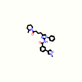 CC1CCCCN1C(=O)CCCc1cn(-c2ccccc2)c(NC(=O)c2cccc(-c3cnn(C)c3)c2)n1